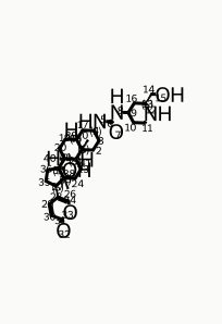 C[C@]12CC[C@H](NC(=O)NC3CCN[C@H](CO)C3)C[C@H]1CC[C@@H]1[C@@H]2CC[C@]2(C)[C@@H](c3ccc(=O)oc3)CC[C@]12O